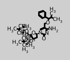 CC(C)C(OCc1cn([C@H]2CC(O[Si](C)(C)C(C)(C)C)[C@@H](CO[Si](C)(C)C(C)(C)C)O2)c(=O)nc1N)c1ccccc1